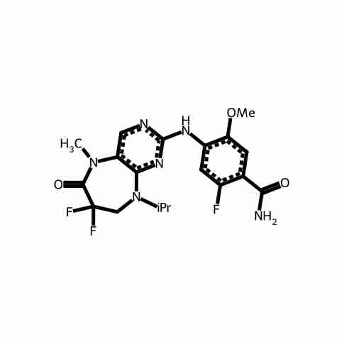 COc1cc(C(N)=O)c(F)cc1Nc1ncc2c(n1)N(C(C)C)CC(F)(F)C(=O)N2C